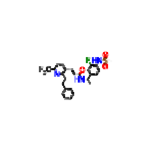 CC(NC(=O)C=Cc1ccc(C(F)(F)F)nc1CCc1ccccc1)c1ccc(NS(C)(=O)=O)c(F)c1